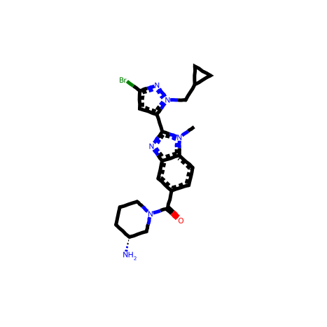 Cn1c(-c2cc(Br)nn2CC2CC2)nc2cc(C(=O)N3CCC[C@@H](N)C3)ccc21